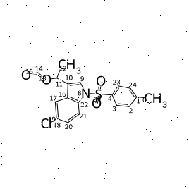 Cc1ccc(S(=O)(=O)n2cc(C(C)OC=O)c3cc(Cl)ccc32)cc1